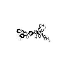 CCCn1c(=O)n(CCOC)c(=O)c2[nH]c(-c3ccc(N(CCCN4C=CC=CC4)C(=O)c4ccc(F)c(F)c4)nc3)nc21